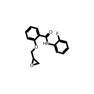 O=C(Nc1ccccc1F)c1ccccc1OCC1CO1